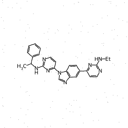 CCNc1nccc(-c2ccc3c(c2)ncn3-c2ccnc(NC(C)c3ccccc3)n2)n1